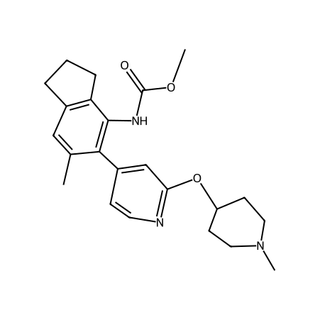 COC(=O)Nc1c2c(cc(C)c1-c1ccnc(OC3CCN(C)CC3)c1)CCC2